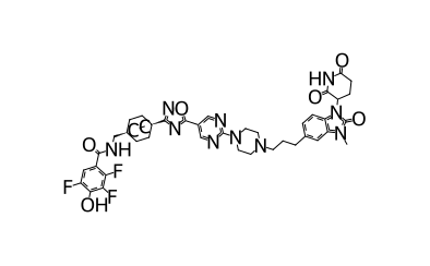 Cn1c(=O)n(C2CCC(=O)NC2=O)c2ccc(CCCN3CCN(c4ncc(-c5nc([C@]67CC[C@](CNC(=O)c8cc(F)c(O)c(F)c8F)(CC6)CC7)no5)cn4)CC3)cc21